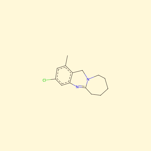 Cc1cc(Cl)cc2c1CN1CCCCCC1=N2